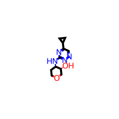 O[C@@H]1COCC[C@H]1Nc1nncc(C2CC2)n1